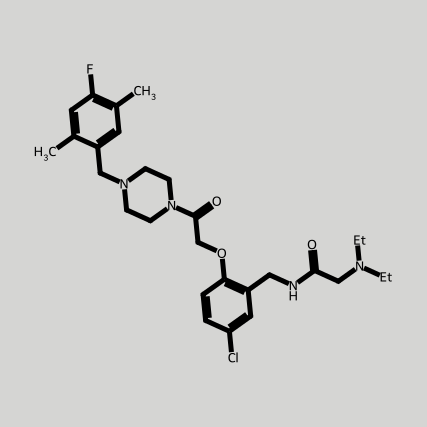 CCN(CC)CC(=O)NCc1cc(Cl)ccc1OCC(=O)N1CCN(Cc2cc(C)c(F)cc2C)CC1